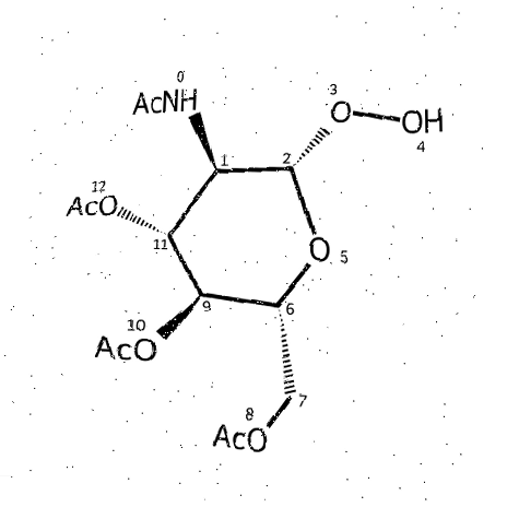 CC(=O)N[C@H]1[C@H](OO)O[C@H](COC(C)=O)[C@@H](OC(C)=O)[C@@H]1OC(C)=O